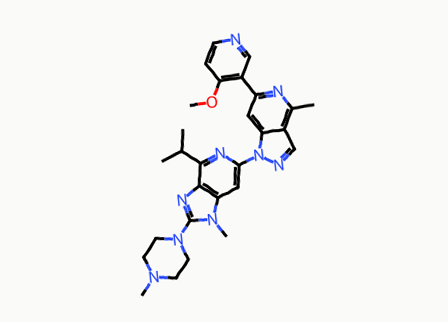 COc1ccncc1-c1cc2c(cnn2-c2cc3c(nc(N4CCN(C)CC4)n3C)c(C(C)C)n2)c(C)n1